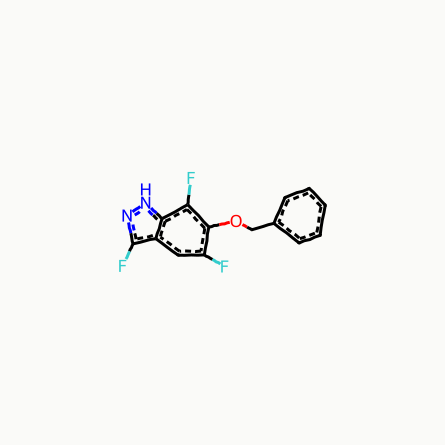 Fc1cc2c(F)n[nH]c2c(F)c1OCc1ccccc1